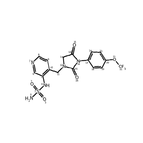 NS(=O)(=O)Nc1cnccc1CN1CC(=O)N(c2ccc(OC(F)(F)F)cc2)C1=O